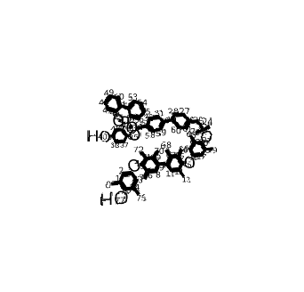 Cc1cc(Oc2c(C)cc(-c3cc(C)c(Oc4cc(C)c(OC(C)(C)Cc5ccc(-c6ccc(COc7ccc(O)cc7P7(=O)Oc8ccccc8-c8ccccc87)cc6)cc5)c(C)c4)c(C)c3C)c(C)c2C)cc(C)c1O